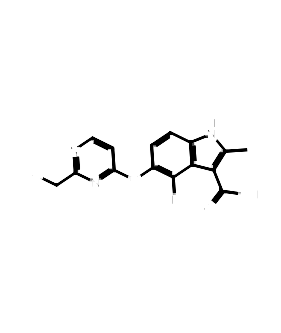 Cc1[nH]c2ccc(Oc3ccnc(CO)n3)c(F)c2c1C(=O)O